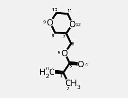 C=C(C)C(=O)OCC1COCCO1